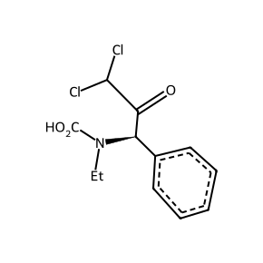 CCN(C(=O)O)[C@@H](C(=O)C(Cl)Cl)c1ccccc1